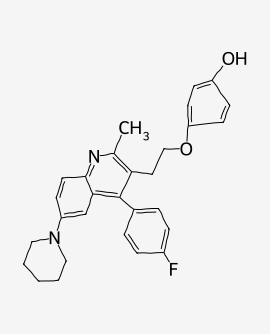 Cc1nc2ccc(N3CCCCC3)cc2c(-c2ccc(F)cc2)c1CCOc1ccc(O)cc1